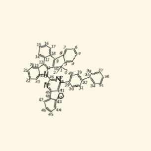 CC1(C)c2ccccc2-c2c1c1c(c3ccccc23)c2ccccc2n1-c1nc(-c2ccc(-c3ccccc3)cc2)c2oc3ccccc3c2n1